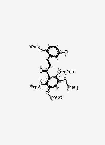 CCCCCOc1ccc(CC)cc1C=CC(=O)c1c(OCCCCC)c(OCCCCC)cc(OCCCCC)c1OCCCCC